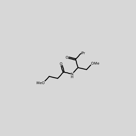 COCCC(=O)NC(COC)C(=O)C(C)C